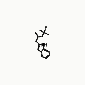 CC(Cc1cc2ccccc2[nH]1)CC(C)(C)F